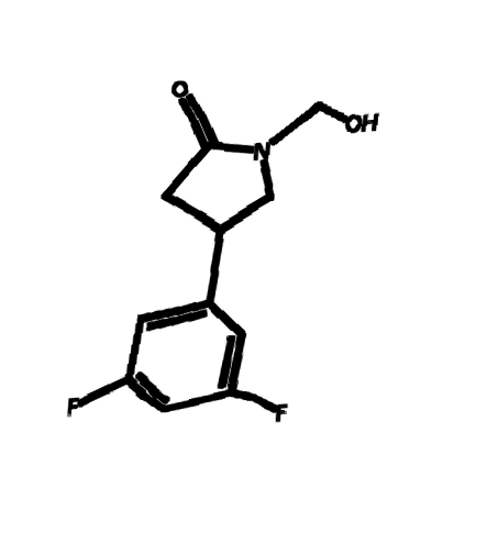 O=C1CC(c2cc(F)cc(F)c2)CN1CO